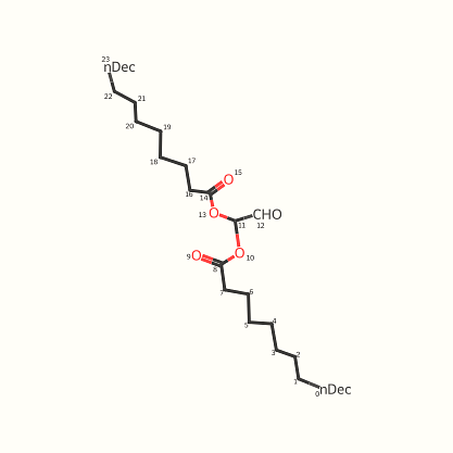 CCCCCCCCCCCCCCCCCC(=O)OC(C=O)OC(=O)CCCCCCCCCCCCCCCCC